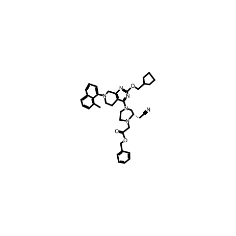 Cc1cccc2cccc(N3CCc4c(nc(OCC5CCCC5)nc4N4CCN(CC(=O)OCc5ccccc5)[C@@H](CC#N)C4)C3)c12